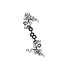 CC[C@H](C)[C@H](NC(=O)OC)C(=O)N1CCC[C@H]1c1ncc(-c2ccc3cc(-c4ccc5nc([C@@H]6CCCN6C(=O)[C@@H](NC(=O)OC)[C@@H](C)CC)[nH]c5c4)ccc3c2)[nH]1